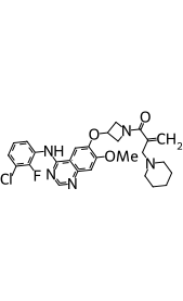 C=C(CN1CCCCC1)C(=O)N1CC(Oc2cc3c(Nc4cccc(Cl)c4F)ncnc3cc2OC)C1